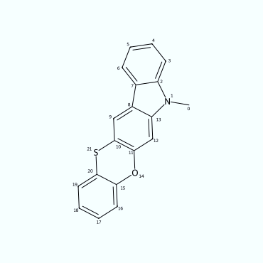 Cn1c2ccccc2c2cc3c(cc21)Oc1ccccc1S3